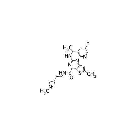 Cc1cc2nc(N[C@@H](C)c3cncc(F)c3)nc(C(=O)NCCC3CN(C)C3)c2s1